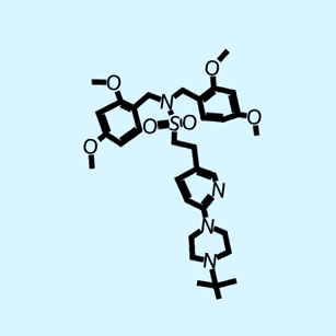 COc1ccc(CN(Cc2ccc(OC)cc2OC)S(=O)(=O)CCc2ccc(N3CCN(C(C)(C)C)CC3)nc2)c(OC)c1